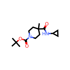 CC(C)(C)OC(=O)N1CCC(C)(C(=O)NC2CC2)CC1